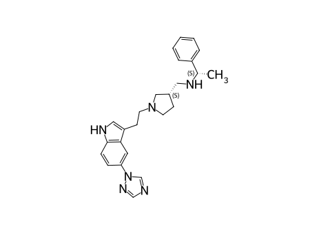 C[C@H](NC[C@@H]1CCN(CCc2c[nH]c3ccc(-n4cncn4)cc23)C1)c1ccccc1